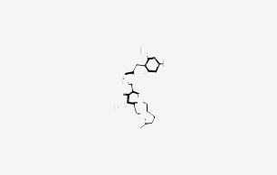 CC1CCC2Cn3cc(-c4ncc(Cc5c(F)cc(F)cc5F)s4)c(=O)c(O)c3C(=O)N12